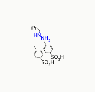 CC(C)CNN.Cc1ccc(S(=O)(=O)O)cc1.Cc1ccc(S(=O)(=O)O)cc1